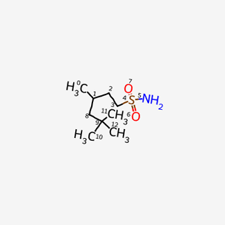 CC(CCS(N)(=O)=O)CC(C)(C)C